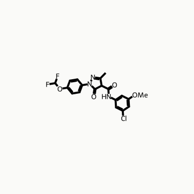 COc1cc(Cl)cc(NC(=O)C2C(=O)N(c3ccc(OC(F)F)cc3)N=C2C)c1